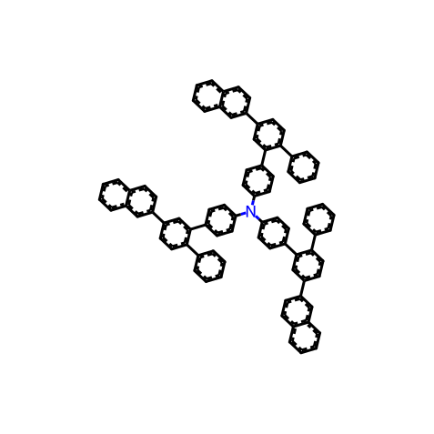 c1ccc(-c2ccc(-c3ccc4ccccc4c3)cc2-c2ccc(N(c3ccc(-c4cc(-c5ccc6ccccc6c5)ccc4-c4ccccc4)cc3)c3ccc(-c4cc(-c5ccc6ccccc6c5)ccc4-c4ccccc4)cc3)cc2)cc1